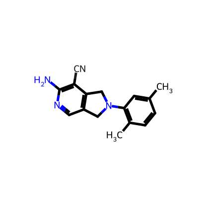 Cc1ccc(C)c(N2Cc3cnc(N)c(C#N)c3C2)c1